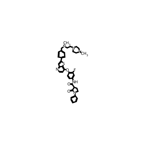 CN1CCN(CCN(C)Cc2ccc(-c3cc4nccc(Oc5ccc(NC(=O)C6CCN(c7ccccc7)C6=O)cc5F)c4s3)cc2)CC1